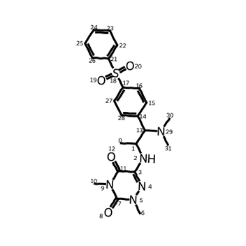 CC(Nc1nn(C)c(=O)n(C)c1=O)C(c1ccc(S(=O)(=O)c2ccccc2)cc1)N(C)C